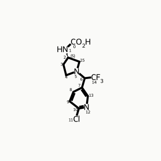 O=C(O)N[C@H]1CCN(C(c2ccc(Cl)nc2)C(F)(F)F)C1